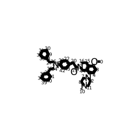 COc1ccc(N2CCN(C)CC2)c2c1CCN(C(=O)Cc1ccc(N(CCc3ccccc3)CCc3ccccc3)cc1)C2